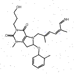 C/C(C=N)=C/C=C(\C)CN1c2c(n(C)c(=O)n(CCCO)c2=O)CC1OC1C=CC=CC1C